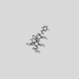 CC(=O)O[C@@H]1[C][C@@]2(O)[C@H](C)CC[C@@H]([C@H](C)CN(C)C(=O)COc3ccccc3)[C@H]2C=C1C